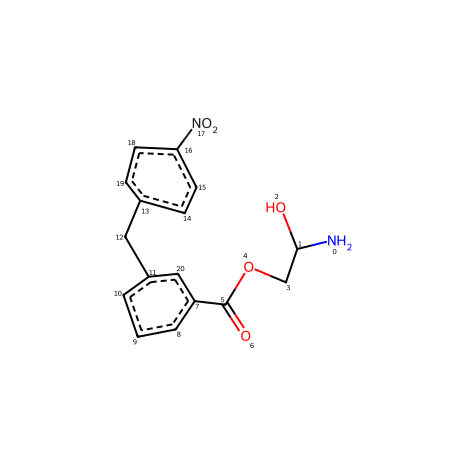 NC(O)COC(=O)c1cccc(Cc2ccc([N+](=O)[O-])cc2)c1